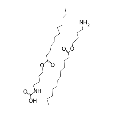 CCCCCCCCCCCC(=O)OCCCCN.CCCCCCCCCCCC(=O)OCCCCNC(=O)O